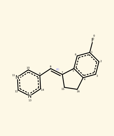 Fc1ccc2c(c1)/C(=C/c1cncnc1)CC2